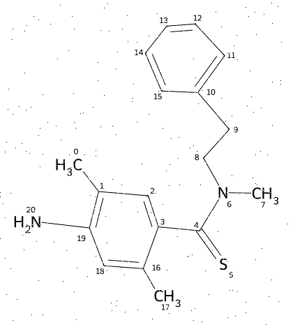 Cc1cc(C(=S)N(C)CCc2ccccc2)c(C)cc1N